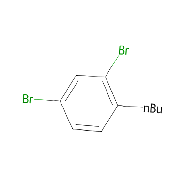 CCCCc1ccc(Br)cc1Br